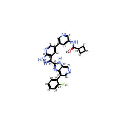 O=C(Nc1cncc(-c2cnc3[nH]nc(-c4nc5c(-c6ccccc6F)cncc5[nH]4)c3c2)c1)C1CCC1